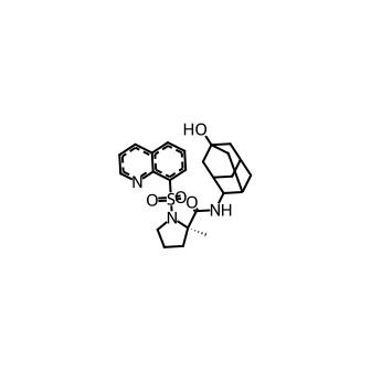 C[C@]1(C(=O)NC2C3CC4CC2CC(O)(C4)C3)CCCN1S(=O)(=O)c1cccc2cccnc12